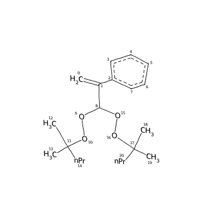 C=C(c1ccccc1)C(OOC(C)(C)CCC)OOC(C)(C)CCC